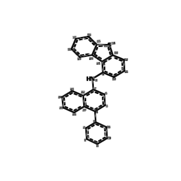 c1ccc(-c2ccc(Nc3cccc4sc5ccccc5c34)c3ccccc23)cc1